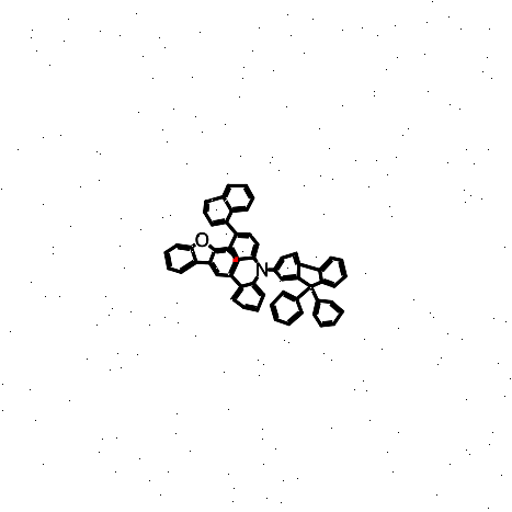 c1ccc(C2(c3ccccc3)c3ccccc3-c3ccc(N(c4ccc(-c5cccc6ccccc56)cc4)c4ccccc4-c4ccc5oc6ccccc6c5c4)cc32)cc1